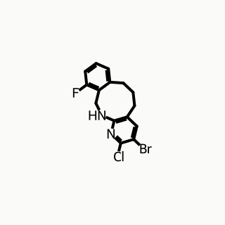 Fc1cccc2c1CNc1nc(Cl)c(Br)cc1CCC2